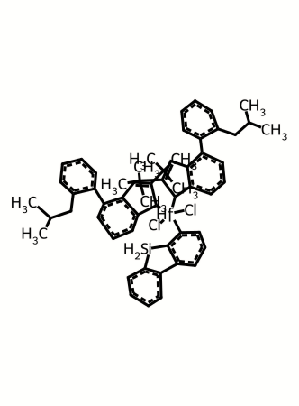 CC(C)Cc1ccccc1-c1cccc2c1C=C(C(C)(C)C)[CH]2[Hf]([Cl])([Cl])([c]1cccc2c1[SiH2]c1ccccc1-2)[CH]1C(C(C)(C)C)=Cc2c(-c3ccccc3CC(C)C)cccc21